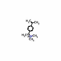 C=C(C)c1ccc([SiH](C)N(C)C)cc1